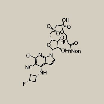 CCCCCCCCCC(=O)OCOP(=O)(O)CS(=O)(=O)C[C@H]1O[C@@H](n2ccc3c(N[C@H]4C[C@@H](F)C4)c(C#N)c(Cl)nc32)[C@H](O)[C@@H]1O